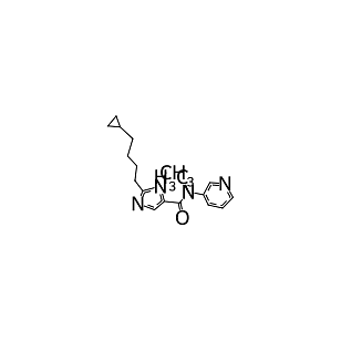 CN(C(=O)c1cnc(CCCCC2CC2)n1C)c1cccnc1